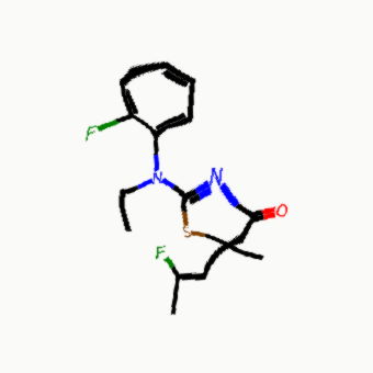 CCN(C1=NC(=O)C(C)(CC(C)F)S1)c1ccccc1F